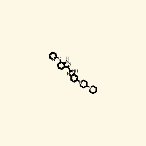 c1ccc(Oc2cccc3c(-c4nc5ccc(N6CCC(N7CCCCC7)CC6)cc5[nH]4)n[nH]c23)nc1